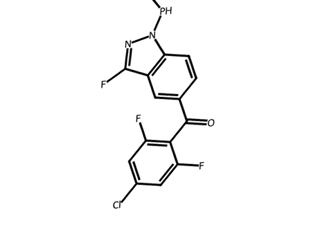 O=C(c1ccc2c(c1)c(F)nn2PI)c1c(F)cc(Cl)cc1F